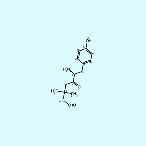 CC(C)(CC(=O)[C@@H](N)Cc1ccc(O)cc1)O[C]=O